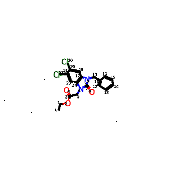 CCOC(=O)Cn1c(=O)n(Cc2ccccc2)c2cc(Cl)c(Cl)cc21